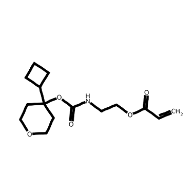 C=CC(=O)OCCNC(=O)OC1(C2CCC2)CCOCC1